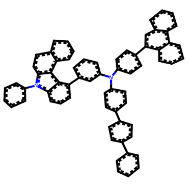 c1ccc(-c2ccc(-c3ccc(N(c4ccc(-c5cc6ccccc6c6ccccc56)cc4)c4cccc(-c5cccc6c5c5c7ccccc7ccc5n6-c5ccccc5)c4)cc3)cc2)cc1